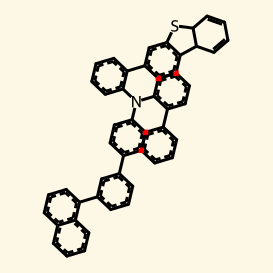 C1=CC2Sc3cc(-c4ccccc4N(c4ccc(-c5cccc(-c6cccc7ccccc67)c5)cc4)c4ccccc4-c4ccccc4)ccc3C2C=C1